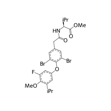 COC(=O)[C@@H](NC(=O)Cc1cc(Br)c(Oc2cc(F)c(OC)c(C(C)C)c2)c(Br)c1)C(C)C